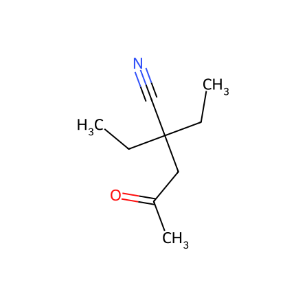 CCC(C#N)(CC)CC(C)=O